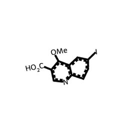 COc1c(C(=O)O)cnc2ccc(I)cc12